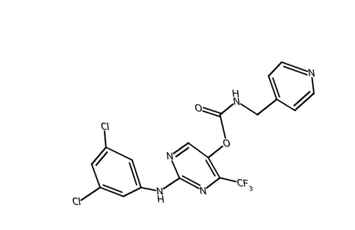 O=C(NCc1ccncc1)Oc1cnc(Nc2cc(Cl)cc(Cl)c2)nc1C(F)(F)F